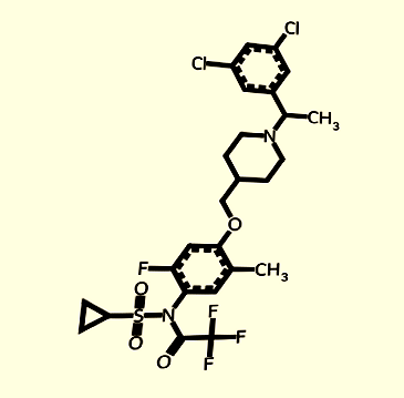 Cc1cc(N(C(=O)C(F)(F)F)S(=O)(=O)C2CC2)c(F)cc1OCC1CCN(C(C)c2cc(Cl)cc(Cl)c2)CC1